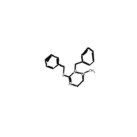 CN1CCN=C(SCc2ccccc2)N1Cc1ccccc1